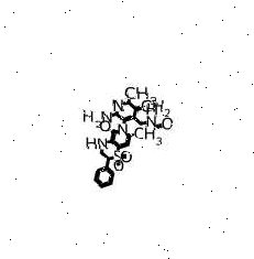 C=C1C(CNC=O)=C(n2c(C)cc3c(c2=O)NCC(c2ccccc2)S3(=O)=O)C(N)=NC1C